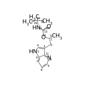 CC(Cc1c[nH]c2cccnc12)OC(=O)NC(C)(C)C